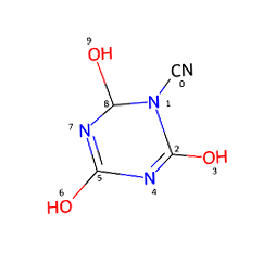 N#CN1C(O)=NC(O)=NC1O